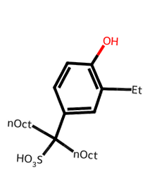 CCCCCCCCC(CCCCCCCC)(c1ccc(O)c(CC)c1)S(=O)(=O)O